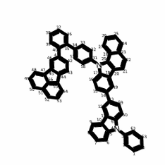 c1ccc(-n2c3ccccc3c3cc(-c4ccc5c(c4)c4ccc6ccccc6c4n5-c4ccc(-c5ccccc5-c5ccc6c(c5)-c5cccc7cccc-6c57)cc4)ccc32)cc1